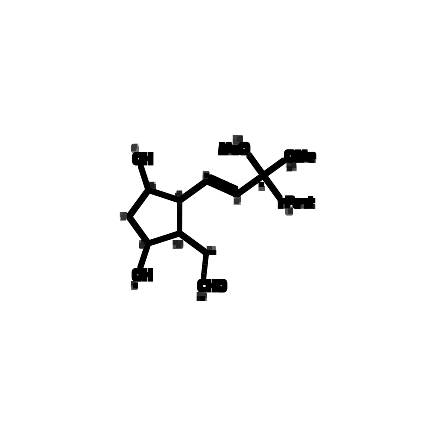 CCCCCC(C=CC1C(O)CC(O)C1CC=O)(OC)OC